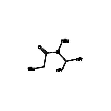 CCCCN(C(=O)CC(C)(C)C)C(CCC)CCC